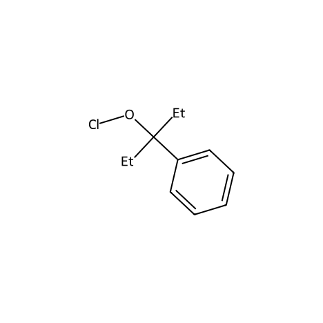 CCC(CC)(OCl)c1ccccc1